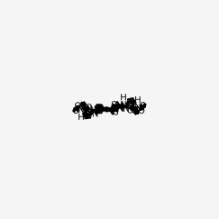 COC(=O)N[C@H](C(=O)N1CCCC1c1ncc(-c2csc3c(C#Cc4ccc5[nH]c(C6CCCN6C(=O)[C@H](NC(=O)OC)C(C)C)nc5c4)csc23)[nH]1)C(C)C